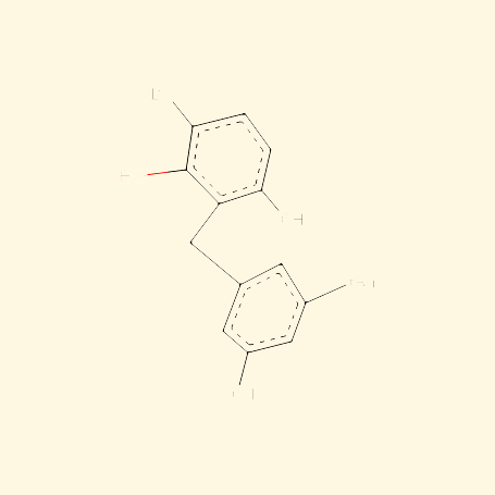 Cc1cc(Cc2c(C)ccc(C(C)(C)C)c2O)cc(C(C)(C)C)c1